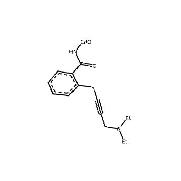 CCN(CC)CC#CCc1ccccc1C(=O)NC=O